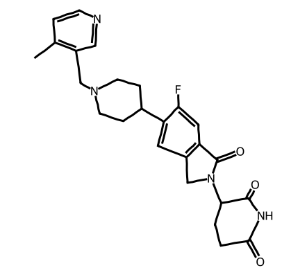 Cc1ccncc1CN1CCC(c2cc3c(cc2F)C(=O)N(C2CCC(=O)NC2=O)C3)CC1